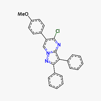 COc1ccc(-c2cn3nc(-c4ccccc4)c(-c4ccccc4)c3nc2Cl)cc1